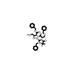 C[C@@H](OCc1ccccc1)[C@@H](C(=O)O[C@@H](C(=O)OCc1ccccc1)[C@@H](O)CO)N(C(=O)OCc1ccccc1)C(=O)C(F)(F)F